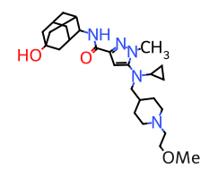 COCCN1CCC(CN(c2cc(C(=O)NC3C4CC5CC3CC(O)(C5)C4)nn2C)C2CC2)CC1